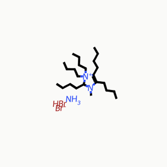 Br.CCCCC1=C(CCCC)[N+](CCCC)(CCCC)C(CCCC)N1C.N.[Br-]